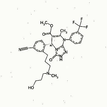 COC(=O)C1=C(C)N(c2cccc(C(F)(F)F)c2)c2n[nH]c(=O)n2[C@@H]1c1ccc(C#N)cc1CCCN(C)CCCO